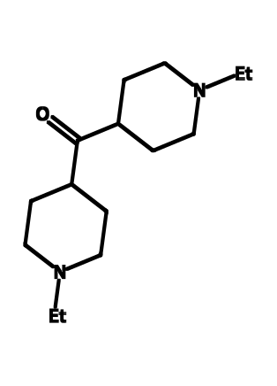 CCN1CCC(C(=O)C2CCN(CC)CC2)CC1